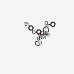 CCc1ccc(Oc2ccc(C3(CC(=O)NOC4CCCCO4)CCN(C(=O)c4ccccc4)CCS3(=O)=O)cc2)cc1